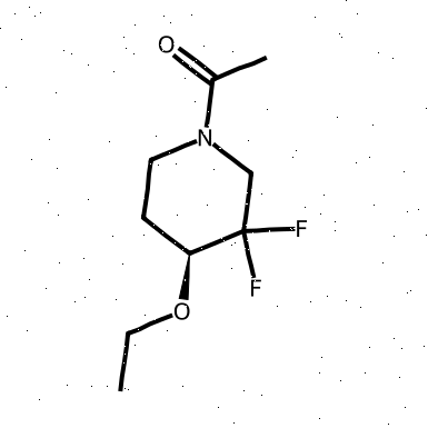 CCO[C@H]1CCN(C(C)=O)CC1(F)F